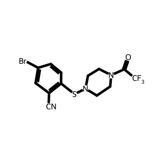 N#Cc1cc(Br)ccc1SN1CCN(C(=O)C(F)(F)F)CC1